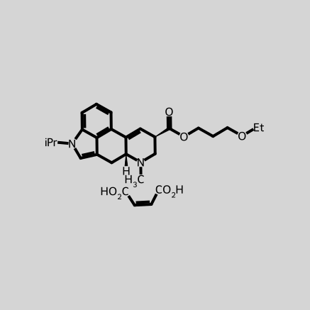 CCOCCCOC(=O)[C@@H]1C=C2c3cccc4c3c(cn4C(C)C)C[C@H]2N(C)C1.O=C(O)/C=C\C(=O)O